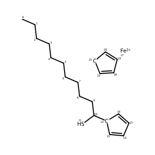 CCCCCCCCCCC(S)[c-]1cccc1.[Fe+2].c1cc[cH-]c1